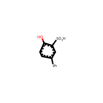 CC(C)c1ccc(O)c(S(=O)(=O)O)c1